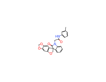 Cc1cccc(NC(=O)CN2C(=O)C3(COc4cc5c(cc43)OCO5)c3ccccc32)c1